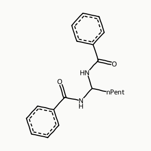 CCCCCC(NC(=O)c1ccccc1)NC(=O)c1ccccc1